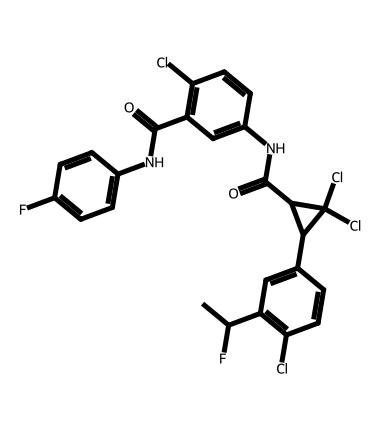 CC(F)c1cc(C2C(C(=O)Nc3ccc(Cl)c(C(=O)Nc4ccc(F)cc4)c3)C2(Cl)Cl)ccc1Cl